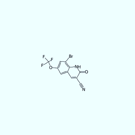 N#Cc1cc2cc(OC(F)(F)F)cc(Br)c2[nH]c1=O